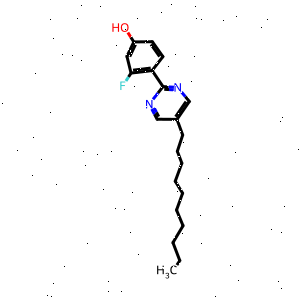 CCCCCCCCCCc1cnc(-c2ccc(O)cc2F)nc1